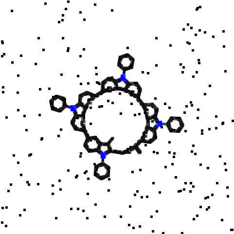 C=c1ccc2c(C)c3cc(ccc3n2-c2ccccc2)c2ccc3c(c2)c2cc(ccc2n3-c2ccccc2)c2ccc3c(c2)c2cc(ccc2n3-c2ccccc2)c2ccc3c(c2)c2cc1ccc2n3-c1ccccc1